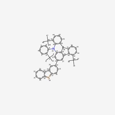 CC(C)(C)c1ccccc1N1c2cc(-c3ccc4sc5ccccc5c4c3)cc3c2B(c2cccc(C(C)(C)C)c2-3)c2cccc(C(C)(C)C)c21